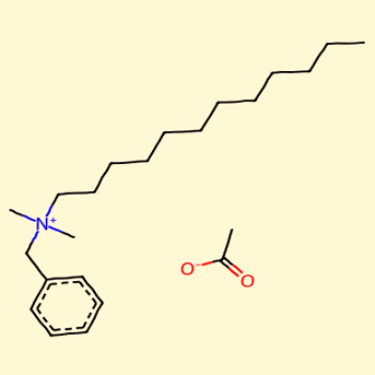 CC(=O)[O-].CCCCCCCCCCCC[N+](C)(C)Cc1ccccc1